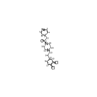 O=C(Cc1ccncc1)N1CCN(CCc2ccc(Cl)c(Cl)c2)CC1